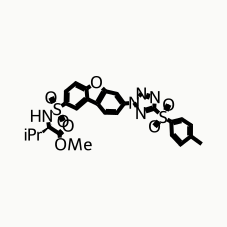 COC(=O)[C@H](NS(=O)(=O)c1ccc2oc3cc(-n4nnc(S(=O)(=O)c5ccc(C)cc5)n4)ccc3c2c1)C(C)C